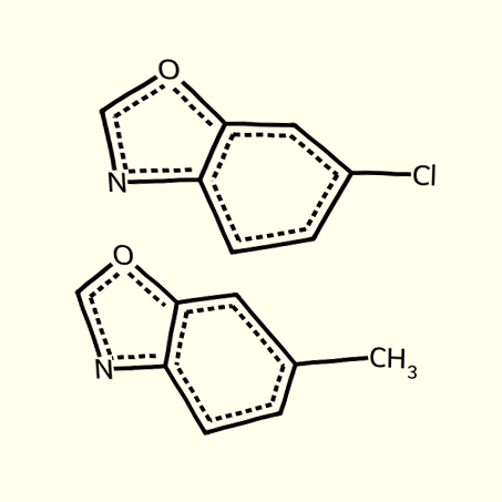 Cc1ccc2ncoc2c1.Clc1ccc2ncoc2c1